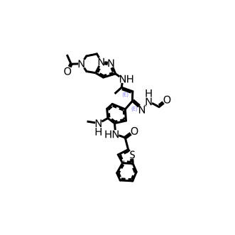 CNc1ccc(C(/C=C(\C)Nc2cc3n(n2)CCN(C(C)=O)C3)=N/NC=O)cc1NC(=O)c1cc2ccccc2s1